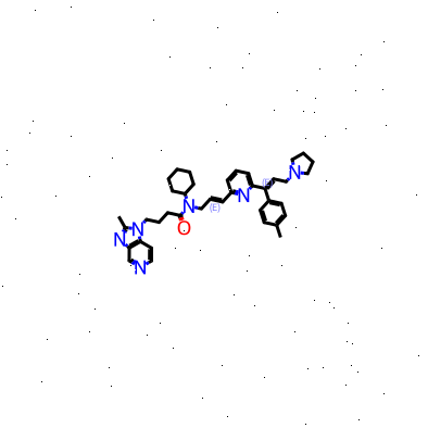 Cc1ccc(/C(=C\CN2CCCC2)c2cccc(/C=C/CN(C(=O)CCCn3c(C)nc4cnccc43)C3CCCCC3)n2)cc1